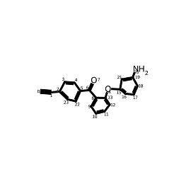 C#Cc1ccc(C(=O)c2ccccc2Oc2cccc(N)c2)cc1